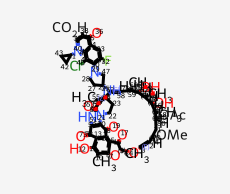 CO[C@H]1/C=C/O[C@@]2(C)Oc3c(C)c(O)c4c(c3C2=O)C(=O)C(N2CCC(NC3CCN(c5c(F)cc6c(=O)c(C(=O)O)cn(C7CC7)c6c5Cl)C3)CC2)=C(NC(=O)/C(C)=C\C=C\[C@H](C)[C@H](O)[C@@H](C)[C@@H](O)[C@@H](C)[C@H](OC(C)=O)C1)C4=O